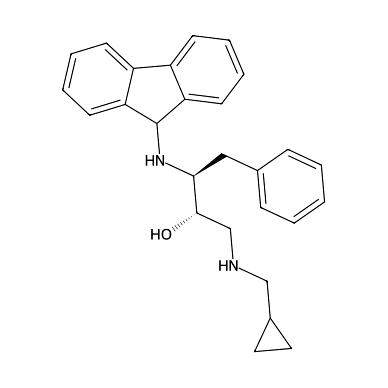 O[C@@H](CNCC1CC1)[C@H](Cc1ccccc1)NC1c2ccccc2-c2ccccc21